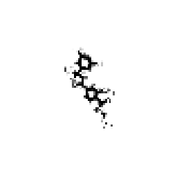 CCOCNC(=O)c1ccc(C2=NOC(C)(c3cc(Cl)cc(Cl)c3)C2)cc1C